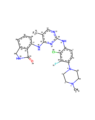 CN1CCN(c2ccc(Nc3ncc(C(F)(F)F)c(Nc4cccc5c4C(=O)NC5)n3)c(Cl)c2F)CC1